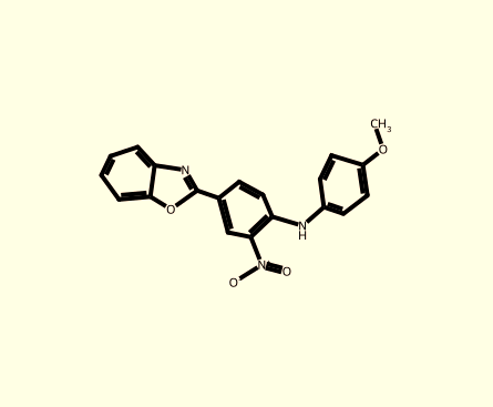 COc1ccc(Nc2ccc(-c3nc4ccccc4o3)cc2[N+](=O)[O-])cc1